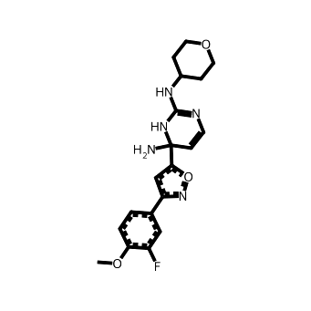 COc1ccc(-c2cc(C3(N)C=CN=C(NC4CCOCC4)N3)on2)cc1F